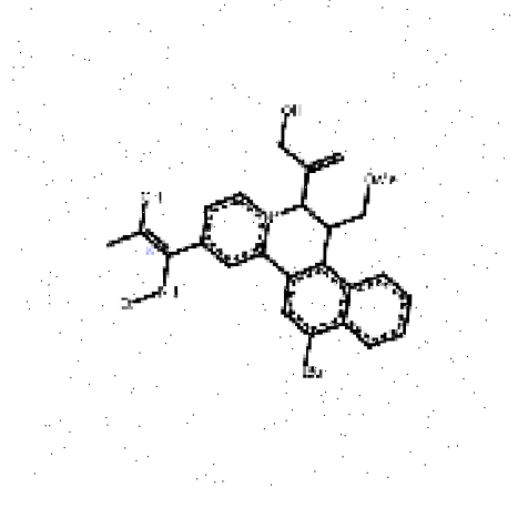 C=C(CO)C1C(COC)c2c(cc(C(C)(C)C)c3ccccc23)-c2cc(/C(NCC)=C(/C)O)cc[n+]21